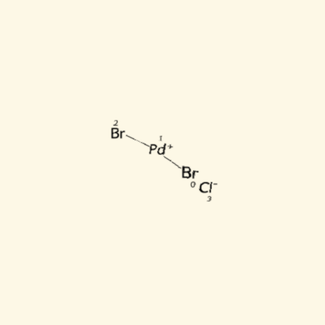 [Br][Pd+][Br].[Cl-]